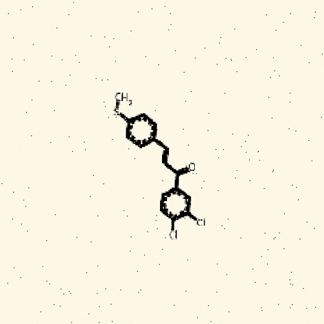 CSc1ccc(C=CC(=O)c2ccc(Cl)c(Cl)c2)cc1